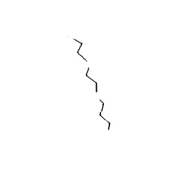 [O]CCCOCCOCCO